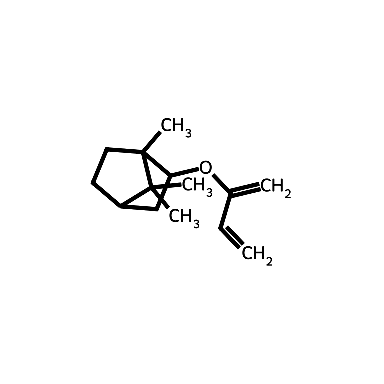 C=CC(=C)OC1CC2CCC1(C)C2(C)C